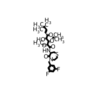 CO[C@@H](C(=O)NC1CSCCN(Cc2cc(F)cc(F)c2)C1=O)[C@@H]1OC(C)(C)O[C@H](C=CC(C)(C)C)[C@@H]1O